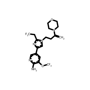 C=C(CCn1cc(-c2cnc(N)c(OC(F)(F)F)c2)nc1CC(F)(F)F)N1CCOCC1